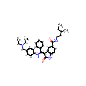 CCC(C)CCNC(=O)c1ccc2c(c1)/C(=C(/Nc1ccc(CN(CC)CC)cc1)c1ccccc1)C(=O)N2